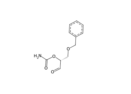 NC(=O)O[C@@H](C=O)COCc1ccccc1